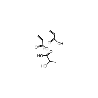 C=CC(=O)O.C=CC(=O)O.CC(O)C(=O)O